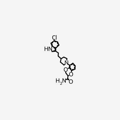 NC(=O)C1COc2c(cccc2N2CCC(CCc3c[nH]c4cc(Cl)ccc34)CC2)O1